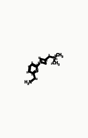 CN(C)CC1CN(c2cccc(CN)n2)C1